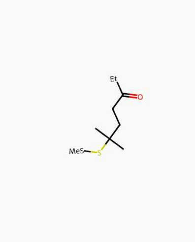 CCC(=O)CCC(C)(C)SSC